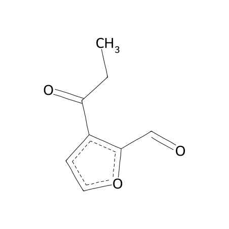 CCC(=O)c1ccoc1C=O